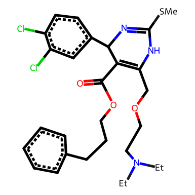 CCN(CC)CCOCC1=C(C(=O)OCCCc2ccccc2)C(c2ccc(Cl)c(Cl)c2)N=C(SC)N1